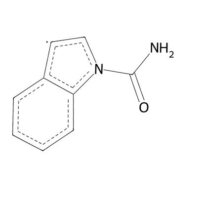 NC(=O)n1c[c]c2ccccc21